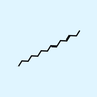 [CH2]CCCCCCC=CCC=CCC